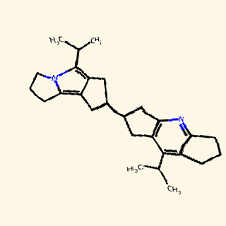 CC(C)c1c2c(nc3c1CC(C1Cc4c(c(C(C)C)n5c4CCC5)C1)C3)CCC2